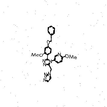 COc1ccc(-n2c(Cn3ccnn3)nnc2-c2ccc(OCc3ccccc3)cc2OC)cn1